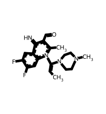 CC=C(N1CCN(C)CC1)n1c(C)c(C=O)c(=N)c2cc(F)c(F)cc21